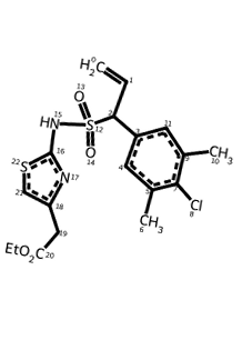 C=CC(c1cc(C)c(Cl)c(C)c1)S(=O)(=O)Nc1nc(CC(=O)OCC)cs1